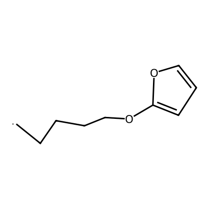 [CH2]CCCCOc1ccco1